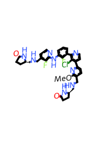 COc1nc(-c2ccnc(-c3cccc(Nc4nccc(CNC[C@@H]5CCC(=O)N5)c4F)c3F)c2Cl)ccc1CNC[C@H]1CCC(=O)N1